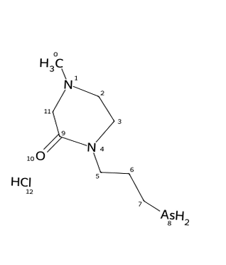 CN1CCN(CCC[AsH2])C(=O)C1.Cl